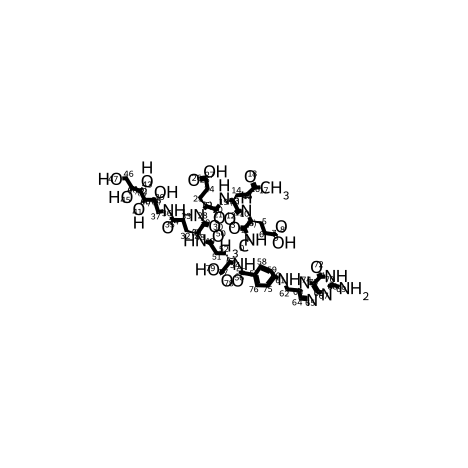 CNC(=O)[C@H](CCC(=O)O)NC(=O)[C@H](CCC(C)=O)NC(=O)[C@H](CCC(=O)O)NC(=O)[C@H](CCC(=O)NC[C@H](O)[C@@H](O)[C@H](O)[C@H](O)CO)NC(=O)CC[C@H](NC(=O)c1ccc(NCc2cnc3nc(N)[nH]c(=O)c3n2)cc1)C(=O)O